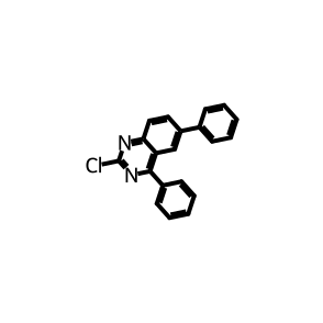 Clc1nc(-c2ccccc2)c2cc(-c3ccccc3)ccc2n1